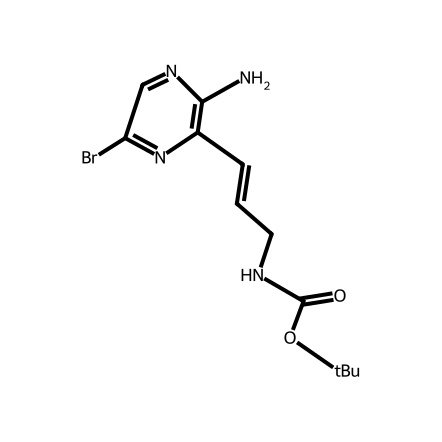 CC(C)(C)OC(=O)NC/C=C/c1nc(Br)cnc1N